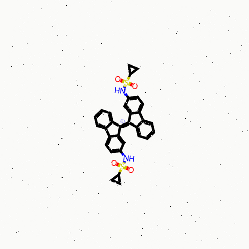 O=S(=O)(Nc1ccc2c(c1)/C(=C1\c3ccccc3-c3ccc(NS(=O)(=O)C4CC4)cc31)c1ccccc1-2)C1CC1